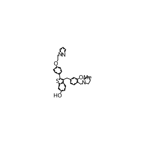 COc1cc(Cc2c(-c3ccc(OCCn4cccn4)cc3)sc3cc(O)ccc23)ccc1CN1CCCC1